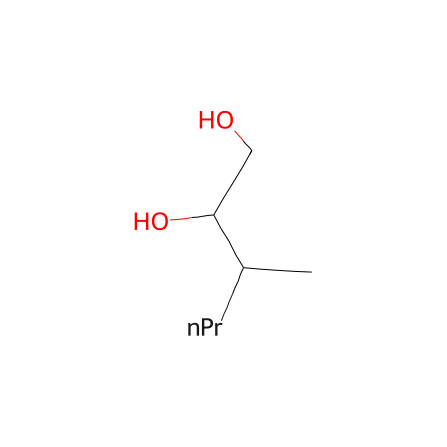 [CH2]CCC(C)C(O)CO